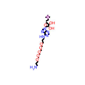 C=P(C)(C)CC[C@H]1OC(n2cnc3c(NCCCOCOCOCOCOCCCN)ncnc32)[C@H](O)[C@@H]1O